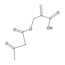 C=C(COC(=O)CC(C)=O)C(=O)O